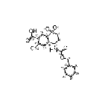 O=C(N[C@H]1CCS(=O)(=O)c2cc(C(=O)O)c(Cl)cc21)OCc1ccccc1